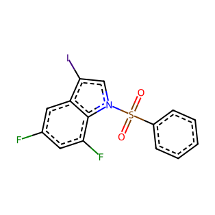 O=S(=O)(c1ccccc1)n1cc(I)c2cc(F)cc(F)c21